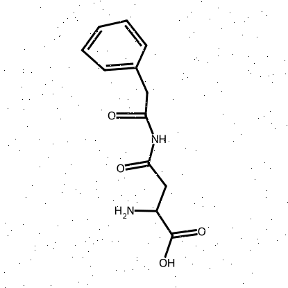 NC(CC(=O)NC(=O)Cc1ccccc1)C(=O)O